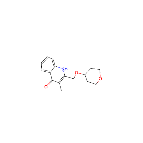 Cc1c(COC2CCOCC2)[nH]c2ccccc2c1=O